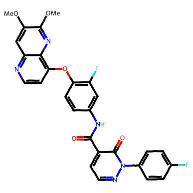 COc1cc2nccc(Oc3ccc(NC(=O)c4ccnn(-c5ccc(F)cc5)c4=O)cc3F)c2nc1OC